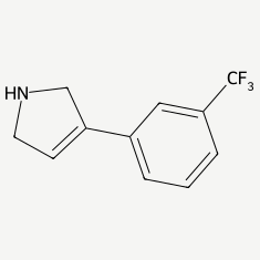 FC(F)(F)c1cccc(C2=CCNC2)c1